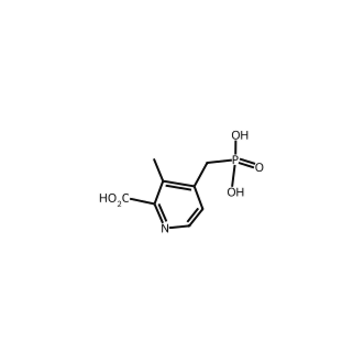 Cc1c(CP(=O)(O)O)ccnc1C(=O)O